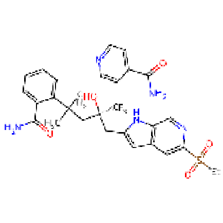 CCS(=O)(=O)c1cc2cc(C[C@](O)(CC(C)(C)c3ccccc3C(N)=O)C(F)(F)F)[nH]c2cn1.NC(=O)c1ccncc1